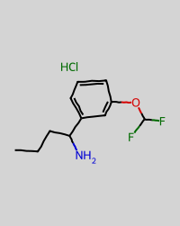 CCCC(N)c1cccc(OC(F)F)c1.Cl